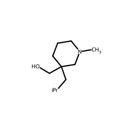 CC(C)CC1(CO)CCCN(C)C1